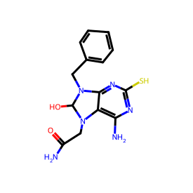 NC(=O)CN1c2c(N)nc(S)nc2N(Cc2ccccc2)C1O